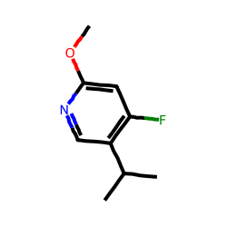 COc1cc(F)c(C(C)C)cn1